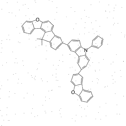 CC1(C)c2ccc(-c3ccc4c(c3)c3cc(-c5ccc6oc7ccccc7c6c5)ccc3n4-c3ccccc3)cc2-c2ccc3oc4ccccc4c3c21